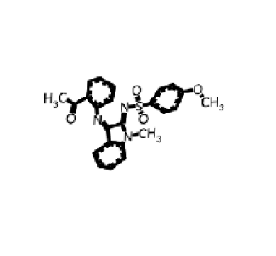 COc1ccc(S(=O)(=O)N=C2/C(=N\c3ccccc3C(C)=O)c3ccccc3N2C)cc1